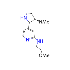 CN[C@@H]1CCNC1c1ccnc(NCCOC)c1